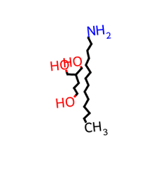 CCCCCCCCCCCCCCN.OCCCC(CO)CO